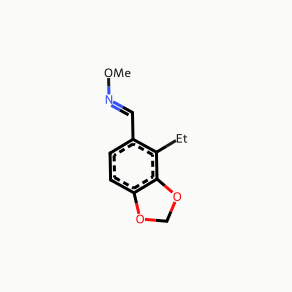 CCc1c(/C=N/OC)ccc2c1OCO2